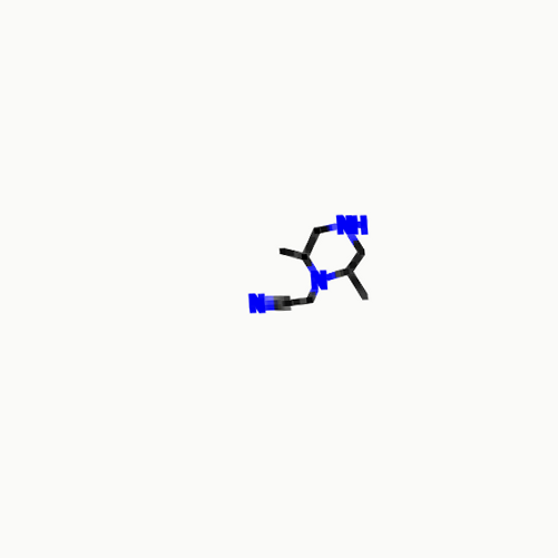 CC1CNCC(C)N1CC#N